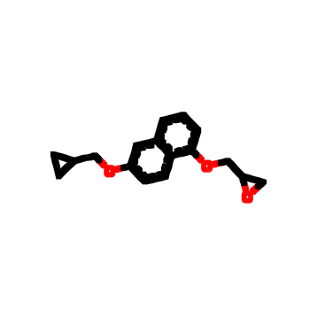 c1cc(OCC2CO2)c2ccc(OCC3CC3)cc2c1